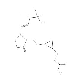 CCCCC(C)(O)[C@H](O)/C=C/C1CCC(=O)C1CCC1CC1CCC(=O)OC